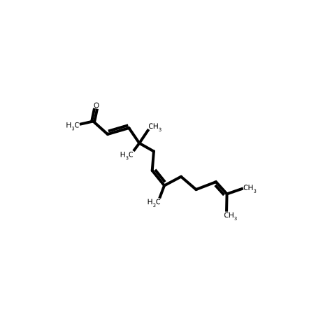 CC(=O)C=CC(C)(C)CC=C(C)CCC=C(C)C